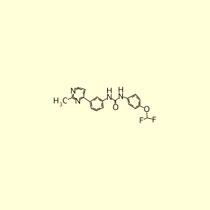 Cc1nccc(-c2cccc(NC(=O)Nc3ccc(OC(F)F)cc3)c2)n1